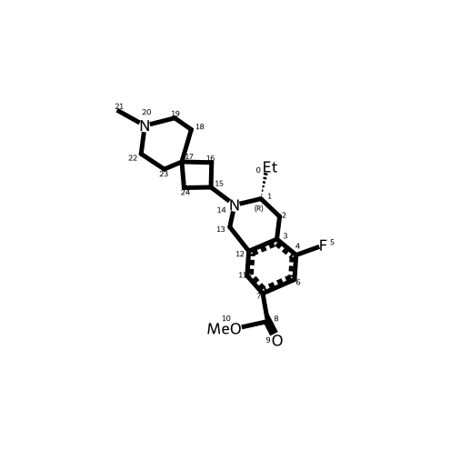 CC[C@@H]1Cc2c(F)cc(C(=O)OC)cc2CN1C1CC2(CCN(C)CC2)C1